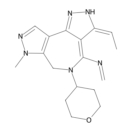 C=NC1=c2c(n[nH]/c2=C/C)-c2cnn(C)c2CN1C1CCOCC1